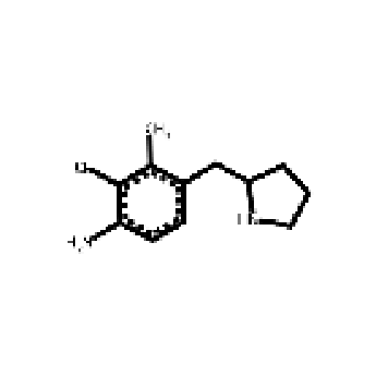 Cc1c(CC2CCCN2)ccc(N)c1Cl